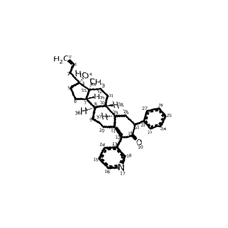 C=CC[C@]1(O)CC[C@H]2[C@@H]3CCC4=C(c5cccnc5)C(=O)C(c5ccccc5)C[C@@H]4[C@H]3CC[C@@]21C